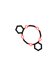 C1CCC2OCCOC3CCCCC3OCCOCCOC2C1